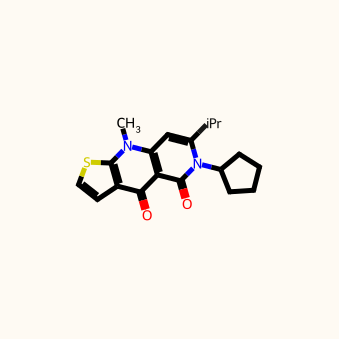 CC(C)c1cc2c(c(=O)c3ccsc3n2C)c(=O)n1C1CCCC1